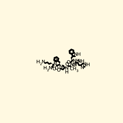 C[C@H](NC(=O)[C@@H](Cc1c[nH]c2ccccc12)NC(=O)[C@@H](N)CC1CNC=N1)C(=O)N[C@H]1CC(=O)N([C@H](Cc2ccccc2)C(=O)N[C@@H](CCCCN)C(N)=O)C1